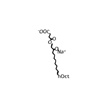 CCCCCCCCC=CCCCCCCCC(=O)CCOC(=O)CCC(=O)[O-].[Na+]